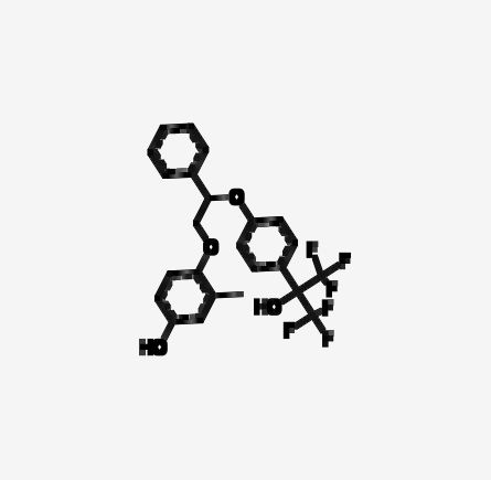 Cc1cc(O)ccc1OCC(Oc1ccc(C(O)(C(F)(F)F)C(F)(F)F)cc1)c1ccccc1